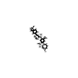 CNc1cc(Nc2cc(-c3ccc4c(cnn4C)c3)ncn2)c(OC)cc1N1CCCN(C)CC1